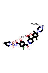 CCOc1cc(C(=O)N2CCc3c(c(=O)oc4c(C)c(N5CCN(C)[C@@H](COC)C5)cc(C)c34)C2)c(F)cc1C(=O)NS(=O)(=O)N1CC2CC2C1